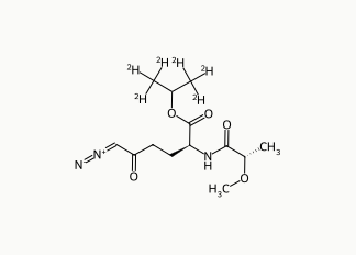 [2H]C([2H])([2H])C(OC(=O)[C@H](CCC(=O)C=[N+]=[N-])NC(=O)[C@H](C)OC)C([2H])([2H])[2H]